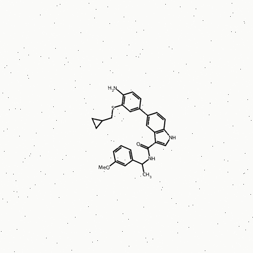 COc1cccc(C(C)NC(=O)c2c[nH]c3ccc(-c4ccc(N)c(SCC5CC5)c4)cc23)c1